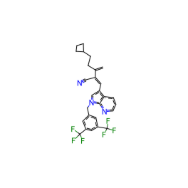 C=C(CCC1CCC1)/C(C#N)=C/c1cn(Cc2cc(C(F)(F)F)cc(C(F)(F)F)c2)c2ncccc12